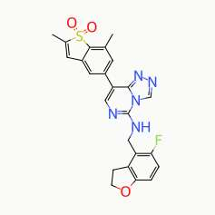 CC1=Cc2cc(-c3cnc(NCc4c(F)ccc5c4CCO5)n4cnnc34)cc(C)c2S1(=O)=O